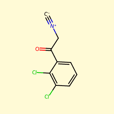 [C-]#[N+]CC(=O)c1cccc(Cl)c1Cl